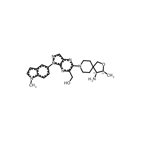 C[C@@H]1OCC2(CCN(c3nc4cnn(-c5ccc6c(ccn6C)c5)c4nc3CO)CC2)[C@@H]1N